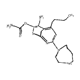 CCCc1cc(N2CCCNCC2)nc2sc(OC(N)=O)c(N)c12